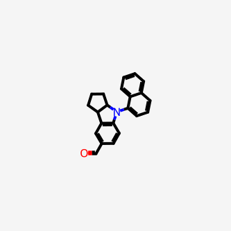 O=Cc1ccc2c(c1)C1CCCC1N2c1cccc2ccccc12